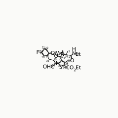 CCNC(=O)C(C)(C)N(C)C(=O)c1c(N(C=O)CCc2cc(F)ccc2OC)sc(C(=O)OCC)c1C